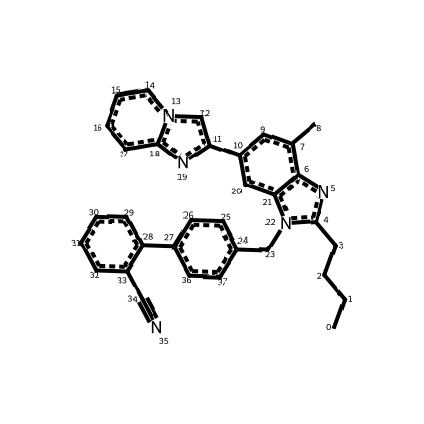 CCCCc1nc2c(C)cc(-c3cn4ccccc4n3)cc2n1Cc1ccc(-c2ccccc2C#N)cc1